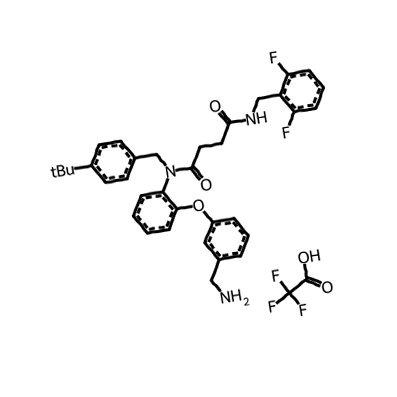 CC(C)(C)c1ccc(CN(C(=O)CCC(=O)NCc2c(F)cccc2F)c2ccccc2Oc2cccc(CN)c2)cc1.O=C(O)C(F)(F)F